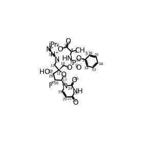 CC(C)OC(=O)C(C)NP(=O)(OC[C@@]1(CN=[N+]=[N-])O[C@@H](n2ccc(=O)[nH]c2=O)[C@H](F)[C@@H]1O)Oc1ccccc1